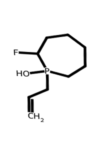 C=CC[P]1(O)CCCCCC1F